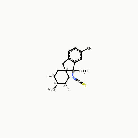 CCOC(=O)[C@]1(N=C=S)c2cc(C#N)ccc2C[C@@]12C[C@@H](C)[C@H](OC)[C@@H](C)C2